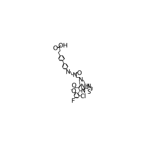 CCN(CCN(C=O)CCN(C)c1ccc(-c2ccc(CCC(=O)O)cc2)cc1)CC1=C(C(=O)OC)[C@H](c2ccc(F)cc2Cl)N=C(c2nccs2)N1